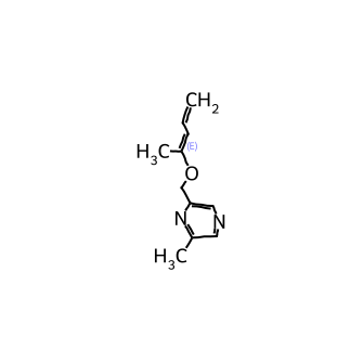 C=C/C=C(\C)OCc1cncc(C)n1